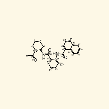 CC(=O)N1CCCCC1NC(=O)c1nccc(C)c1NC(=O)c1cccc2ccccc12